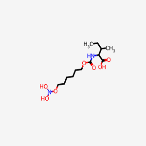 CCC(C)C(NC(=O)OCCCCCCON(O)O)C(=O)O